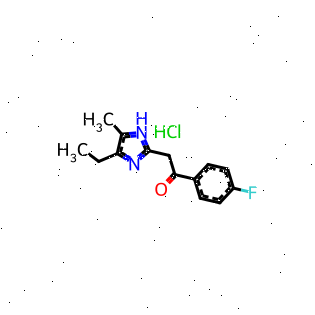 CCc1nc(CC(=O)c2ccc(F)cc2)[nH]c1C.Cl